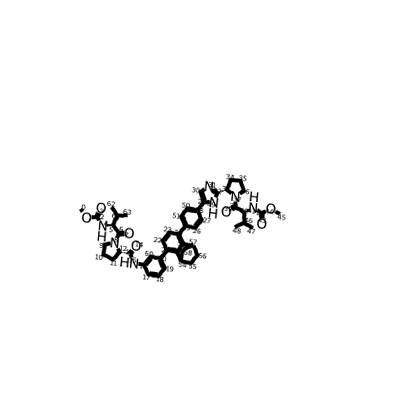 COC(=O)N[C@H](C(=O)N1CCC[C@H]1C(=O)Nc1cccc(-c2ccc(-c3ccc(-c4cnc([C@@H]5CCCN5C(=O)[C@@H](NC(=O)OC)C(C)C)[nH]4)cc3)c3c2C2CCC3CC2)c1)C(C)C